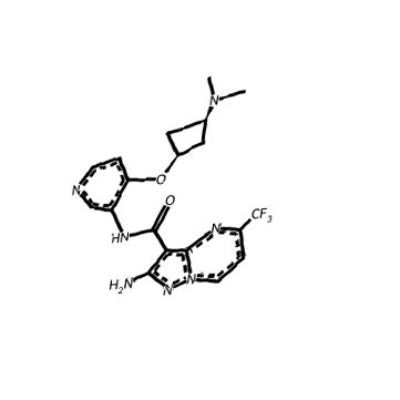 CN(C)[C@H]1C[C@@H](Oc2ccncc2NC(=O)c2c(N)nn3ccc(C(F)(F)F)nc23)C1